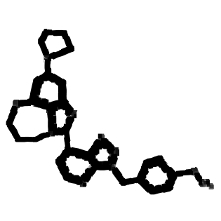 COc1ccc(Cn2nnc3c(-c4nc5cc(N6CCCC6)cc6c5n4CCCO6)ccnc32)cc1